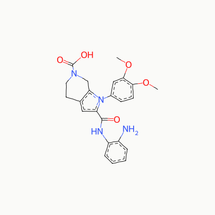 COc1ccc(-n2c(C(=O)Nc3ccccc3N)cc3c2CN(C(=O)O)CC3)cc1OC